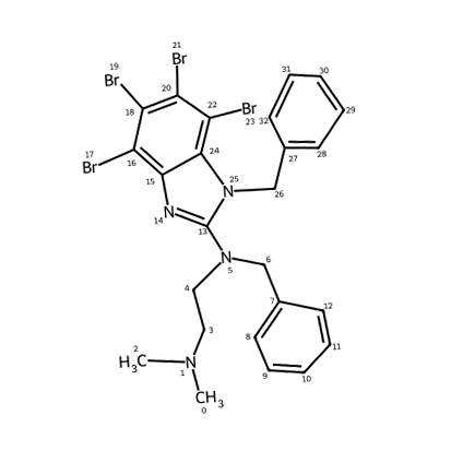 CN(C)CCN(Cc1ccccc1)c1nc2c(Br)c(Br)c(Br)c(Br)c2n1Cc1ccccc1